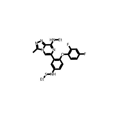 CCNc1nc(-c2cc(NSCC)ccc2Oc2ccc(F)cc2F)cn2c(C)nnc12